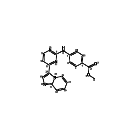 COC(=O)c1ccc(Nc2nccc(-c3cnc4ccccn34)n2)cc1